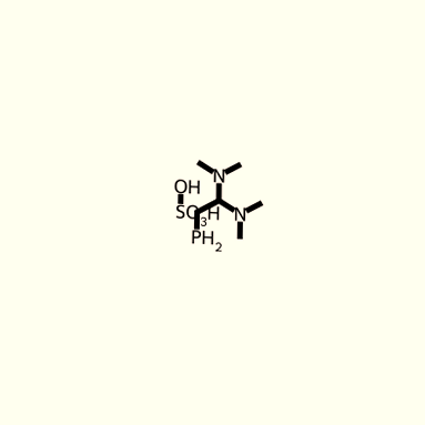 CN(C)C(CP)N(C)C.O=S(=O)(O)O